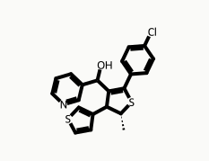 C[C@H]1SC(c2ccc(Cl)cc2)=C(C(O)c2cccnc2)C1c1ccsc1